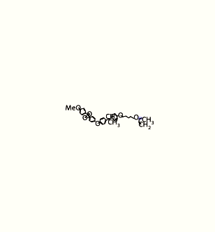 C=C/C(=C\C)OCCCCCOc1ccc(C(C)(C)c2ccc(Oc3ccc(S(=O)(=O)c4ccc(OC)cc4)cc3)cc2)cc1